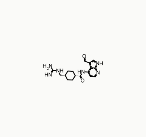 N=C(N)NC[C@H]1CC[C@H](C(=O)Nc2ccnc3[nH]cc(C=O)c23)CC1